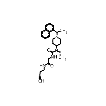 C#CCCNC(=O)CNC(=O)N(SC)C1CCN(C(C)c2cccc3ccccc23)CC1